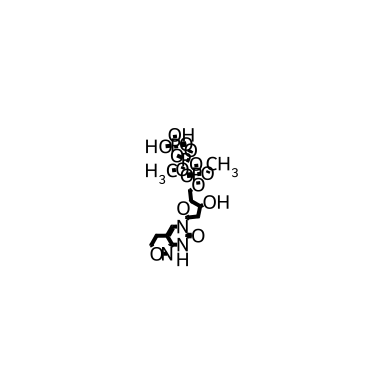 COP(=O)(OCC1OC(N2C=C3CCON=C3NC2=O)CC1O)OP(=O)(OC)OP(=O)(O)O